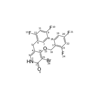 O=c1[nH]cc(Cc2ccc(F)cc2F)c(OCc2ccc(F)cc2F)c1Br